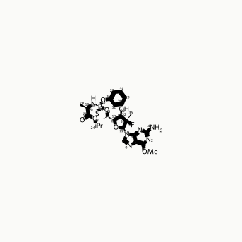 COc1nc(N)nc2c1ncn2[C@@H]1O[C@H](CO[P@](=S)(N[C@H](C)C(=O)OC(C)C)Oc2ccccc2)[C@@H](O)[C@@]1(C)F